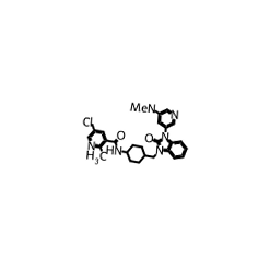 CNc1cncc(-n2c(=O)n(CC3CCC(NC(=O)c4cc(Cl)cnc4C)CC3)c3ccccc32)c1